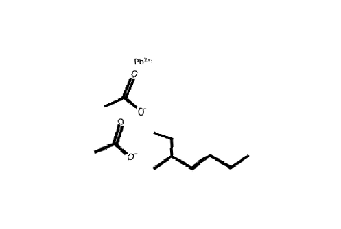 CC(=O)[O-].CC(=O)[O-].CCCCC(C)CC.[Pb+2]